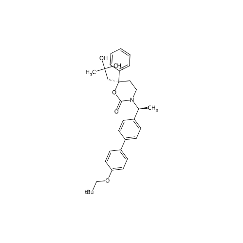 C[C@@H](c1ccc(-c2ccc(OCC(C)(C)C)cc2)cc1)N1CC[C@](CC(C)(C)O)(c2ccccc2)OC1=O